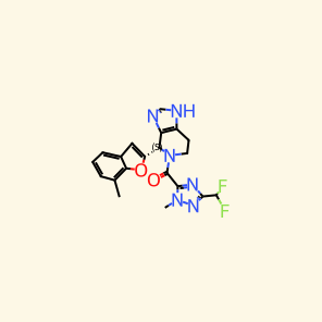 Cc1cccc2cc([C@@H]3c4nc[nH]c4CCN3C(=O)c3nc(C(F)F)nn3C)oc12